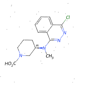 CN(c1nnc(Cl)c2ccccc12)[C@@H]1CCCN(C(=O)O)C1